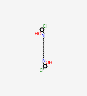 Oc1ccc(Cl)cc1/C=N/CCCCCCCCCCCC/N=C/c1cc(Cl)ccc1O